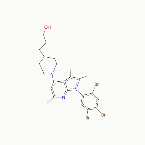 Cc1cc(N2CCC(CCCO)CC2)c2c(C)c(C)n(-c3cc(Br)c(Br)cc3Br)c2n1